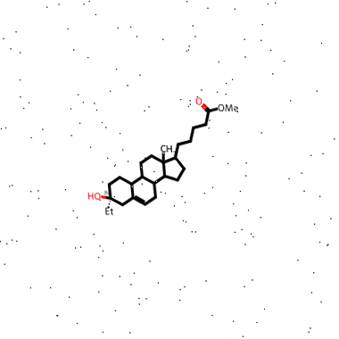 CC[C@]1(O)CCC2C(=CCC3C2CCC2(C)C(CCCCC(=O)OC)CCC32)C1